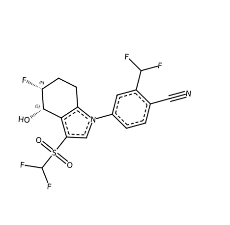 N#Cc1ccc(-n2cc(S(=O)(=O)C(F)F)c3c2CC[C@@H](F)[C@H]3O)cc1C(F)F